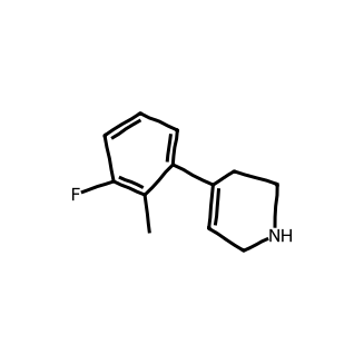 Cc1c(F)cccc1C1=CCNCC1